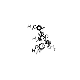 Cc1ccc(F)c(-c2nc(C(=O)Nc3cnn(C)c3N3CC[C@H](N)[C@@H](F)CC3)c(N)s2)c1